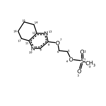 CS(=O)(=O)OCCOc1cnc2c(n1)CCCC2